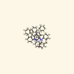 c1ccc(-c2ccc(N(c3ccccc3)c3cccc4c3C3(c5ccccc5-c5cc(N6c7ccccc7Sc7ccccc76)ccc53)c3ccccc3-4)cc2)cc1